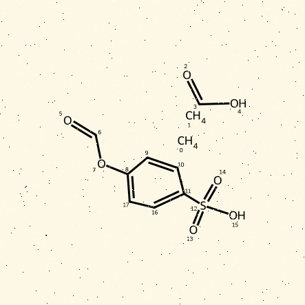 C.C.O=CO.O=COc1ccc(S(=O)(=O)O)cc1